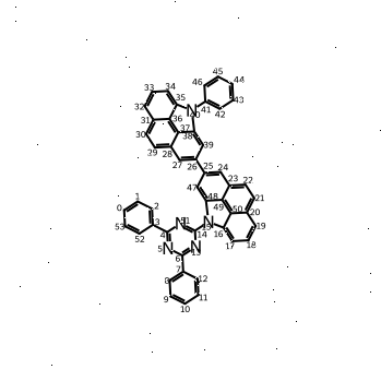 c1ccc(-c2nc(-c3ccccc3)nc(-n3c4cccc5ccc6cc(-c7cc8ccc9cccc%10c9c8c(c7)n%10-c7ccccc7)cc3c6c54)n2)cc1